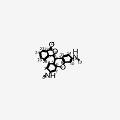 CNc1ccc2c(c1)Oc1cc(NC)ccc1C2C1OC(=O)c2ccccc21